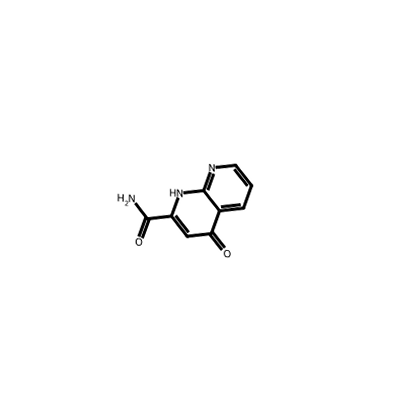 NC(=O)c1cc(=O)c2cccnc2[nH]1